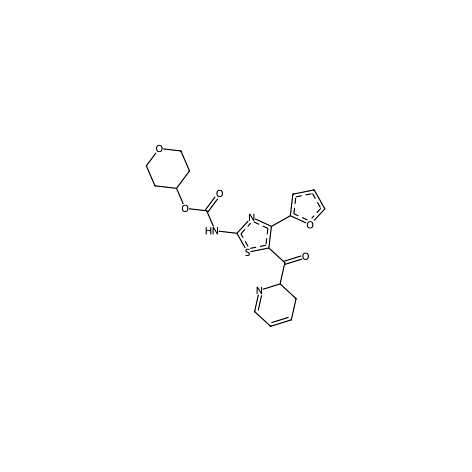 O=C(Nc1nc(-c2ccco2)c(C(=O)C2CC=CC=N2)s1)OC1CCOCC1